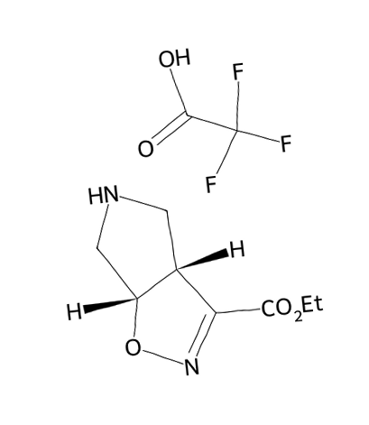 CCOC(=O)C1=NO[C@@H]2CNC[C@H]12.O=C(O)C(F)(F)F